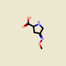 CON=C1CNC(C(=O)O)C1